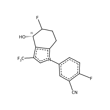 N#Cc1cc(-n2cc(C(F)(F)F)c3c2CCC(F)[C@H]3O)ccc1F